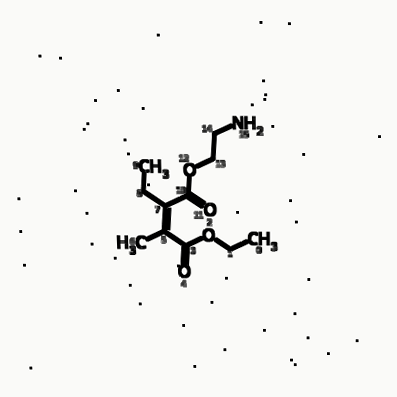 CCOC(=O)C(C)=C(CC)C(=O)OCCN